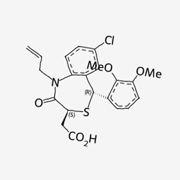 C=CCN1C(=O)[C@H](CC(=O)O)S[C@@H](c2cccc(OC)c2OC)c2cc(Cl)ccc21